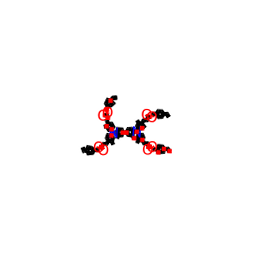 C=Cc1ccc(COC(=O)CCc2ccc(N(c3ccc(CCC(=O)OCc4ccc(C=C)cc4)c(C)c3)c3ccc(-c4ccc(N(c5ccc(CCC(=O)OCc6ccc(C=C)cc6)c(C)c5)c5ccc(CCC(=O)OCc6ccc(C=C)cc6)c(C)c5)c(C)c4)cc3C)cc2C)cc1